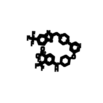 O=[N+]([O-])c1ccc(N[C@H]2CC[C@H](Oc3cncc(N4CCN(Cc5nc6cc(C(F)(F)F)ccc6s5)CC4)c3)CC2)cc1C(F)(F)F